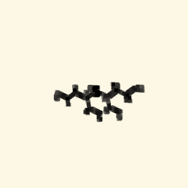 C=C/C=C(\C=C)S/C(C=C)=C/C=C